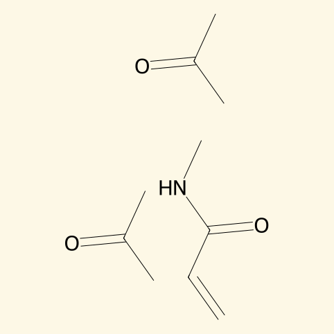 C=CC(=O)NC.CC(C)=O.CC(C)=O